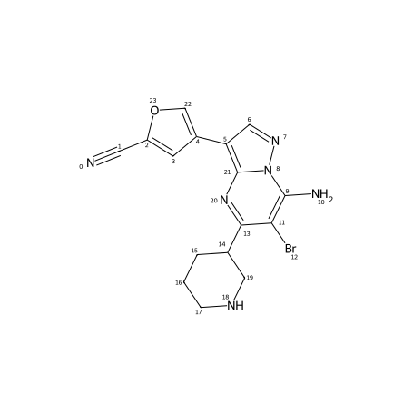 N#Cc1cc(-c2cnn3c(N)c(Br)c(C4CCCNC4)nc23)co1